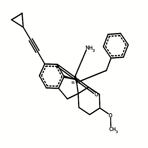 COC1CCC2(CC1)Cc1ccc(C#CC3CC3)cc1[C@@]21N=C(N)N(Cc2ccccc2)C1=O